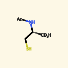 C[13C](=O)N[C@@H](CS)C(=O)O